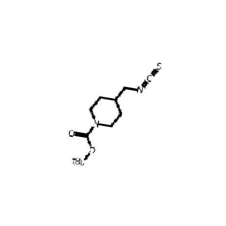 CC(C)(C)OC(=O)N1CCC(CN=C=S)CC1